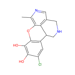 Cc1ncc2c3c1Oc1c(cc(Cl)c(O)c1O)C3CNC2